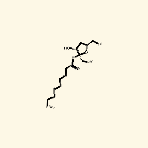 CCCCCCCCCCCCCCCCCC(=O)O[C@]1(CO)O[C@H](CO)C[C@@H]1O